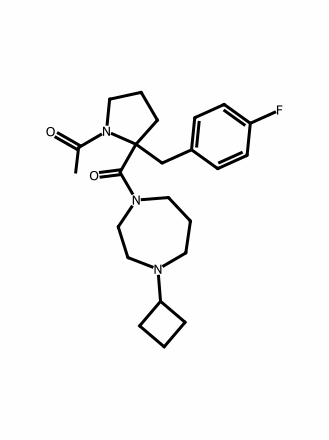 CC(=O)N1CCCC1(Cc1ccc(F)cc1)C(=O)N1CCCN(C2CCC2)CC1